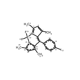 CC1=CC(C)=[N+]2C1=C(c1ccc(I)cc1)c1c(C)cc(C)n1[B-]2(F)F